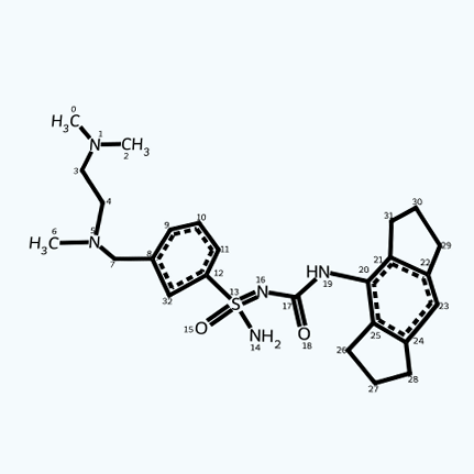 CN(C)CCN(C)Cc1cccc(S(N)(=O)=NC(=O)Nc2c3c(cc4c2CCC4)CCC3)c1